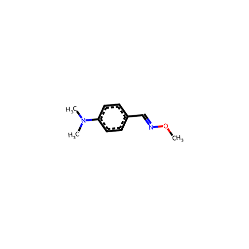 CON=Cc1ccc(N(C)C)cc1